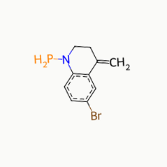 C=C1CCN(P)c2ccc(Br)cc21